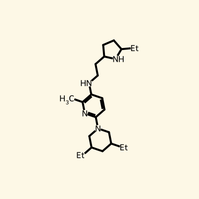 CCC1CC(CC)CN(c2ccc(NCCC3CCC(CC)N3)c(C)n2)C1